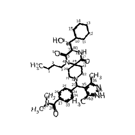 CCCCN1C(=O)[C@@H]([C@H](O)C2CCCCC2)NC(=O)C12CCN(C(c1ccc(C(=O)N(C)C)cc1)c1c(C)n[nH]c1C)CC2